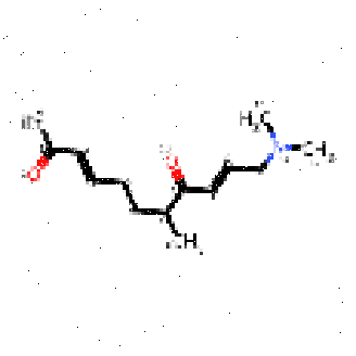 CC(C)C(=O)/C=C/CCC(C)C(=O)/C=C/CN(C)C